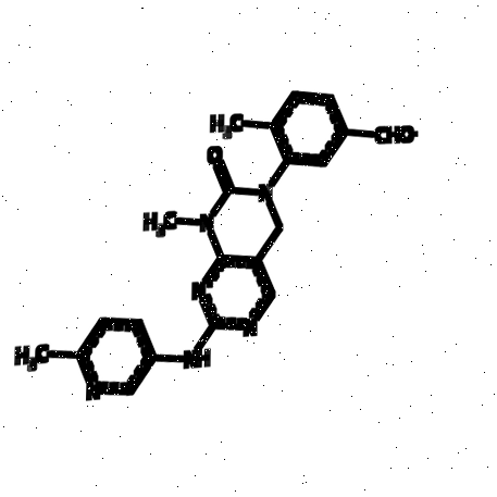 Cc1ccc(Nc2ncc3c(n2)N(C)C(=O)N(c2cc([C]=O)ccc2C)C3)cn1